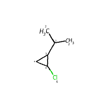 CC(C)C1[CH]C1Cl